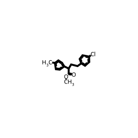 COC(=O)C(CCc1ccc(Cl)cc1)c1ccc(C)cc1